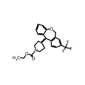 CCOC(=O)N1CCC(=C2c3ccc(C(F)(F)F)cc3COc3ccccc32)CC1